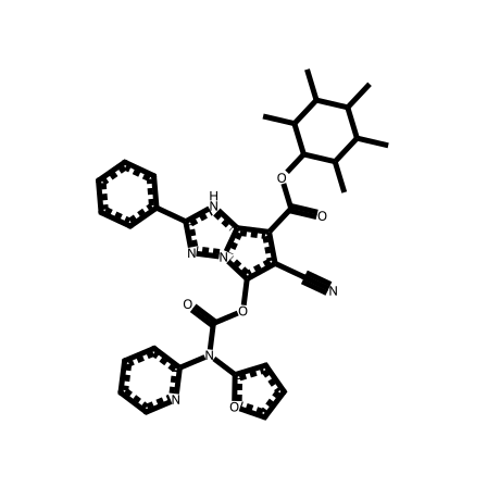 CC1C(C)C(C)C(OC(=O)c2c(C#N)c(OC(=O)N(c3ccccn3)c3ccco3)n3nc(-c4ccccc4)[nH]c23)C(C)C1C